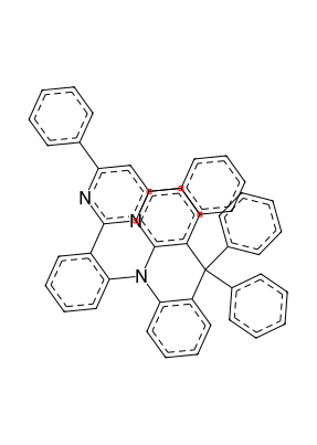 c1ccc(-c2cc(-c3ccccc3)nc(-c3ccccc3N3c4ccccc4C(c4ccccc4)(c4ccccc4)c4ccccc43)n2)cc1